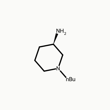 CCCCN1CCC[C@@H](N)C1